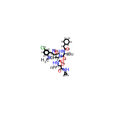 CCC[C@H](NC(=O)[C@@H]1C[C@]2(CC(c3cc(Cl)ccc3N(C)C)=NO2)CN1C(=O)[C@@H](NC(=O)CC1CCCCC1)C(C)(C)C)C(=O)C(=O)NC1CC1